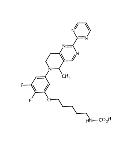 CC1c2cnc(-c3ncccn3)nc2CCN1c1cc(F)c(F)c(OCCCCCNC(=O)O)c1